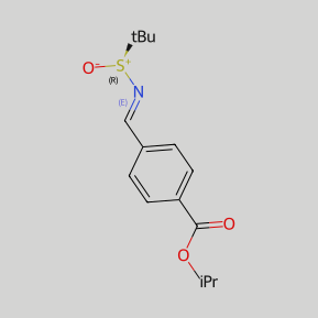 CC(C)OC(=O)c1ccc(/C=N/[S@@+]([O-])C(C)(C)C)cc1